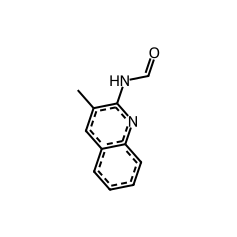 Cc1cc2ccccc2nc1NC=O